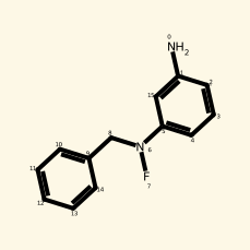 Nc1[c]ccc(N(F)Cc2ccccc2)c1